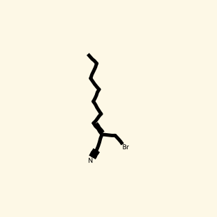 CCCCCCC=C(C#N)CBr